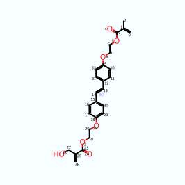 C=C(C)C(=O)OCCOc1ccc(/C=C/c2ccc(OCCOC(=O)C(=C)CO)cc2)cc1